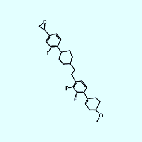 COC1CC=C(c2ccc(CCC3CCC(c4ccc(C5CO5)cc4F)CC3)c(F)c2F)CC1